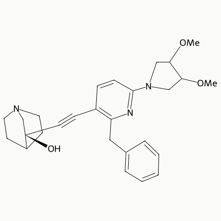 COC1CN(c2ccc(C#C[C@@]3(O)CN4CCC3CC4)c(Cc3ccccc3)n2)CC1OC